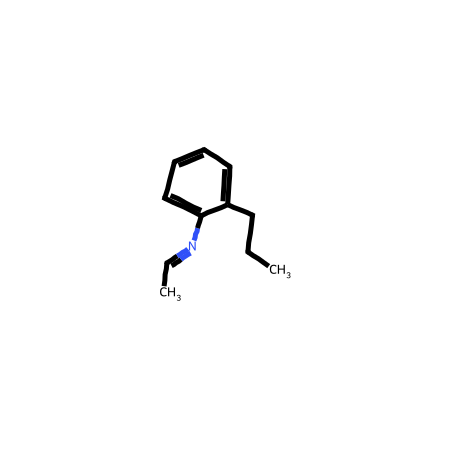 CC=Nc1ccccc1CCC